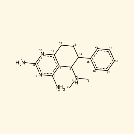 C[SiH](C)C1c2c(N)nc(N)nc2CCC1c1ccccc1